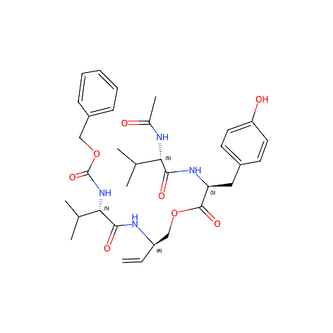 C=C[C@H](COC(=O)[C@H](Cc1ccc(O)cc1)NC(=O)[C@@H](NC(C)=O)C(C)C)NC(=O)[C@@H](NC(=O)OCc1ccccc1)C(C)C